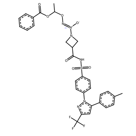 Cc1ccc(-c2cc(C(F)(F)F)nn2-c2ccc(S(=O)(=O)NC(=O)C3CN(/[N+]([O-])=N/OC(C)OC(=O)c4ccccc4)C3)cc2)cc1